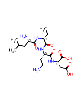 CC[C@H](NC(=O)[C@@H](N)CC(C)C)C(=O)N[C@@H](CCN)C(=O)N[C@@H](CC(=O)O)C(=O)O